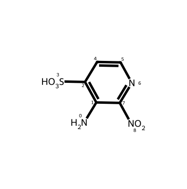 Nc1c(S(=O)(=O)O)ccnc1[N+](=O)[O-]